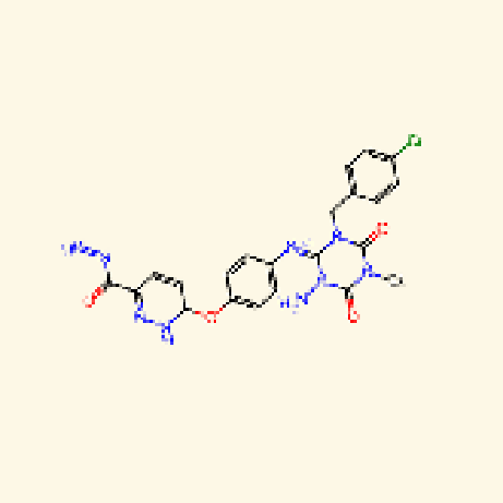 CCn1c(=O)n(N)/c(=N\c2ccc(OC3C=CC(C(=O)N=N)=NN3)cc2)n(Cc2ccc(Cl)cc2)c1=O